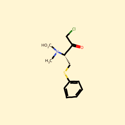 CN(C(=O)O)[C@@H](CSc1ccccc1)C(=O)CCl